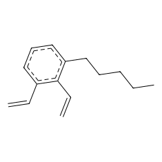 C=Cc1cccc(CCCCC)c1C=C